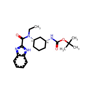 CCN(C(=O)c1nc2ccccc2[nH]1)[C@H]1CCC[C@@H](NC(=O)OC(C)(C)C)C1